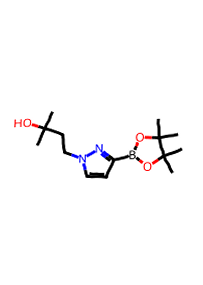 CC(C)(O)CCn1ccc(B2OC(C)(C)C(C)(C)O2)n1